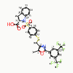 Cc1oc(-c2cc(C(F)(F)F)cc(C(F)(F)F)c2)nc1CSc1ccc(S(=O)(=O)N2c3ccccc3C[C@@H]2C(=O)O)cc1